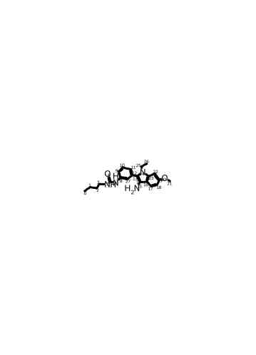 CCCCNC(=O)Nc1cccc(-c2c(N)c3ccc(OC)cc3n2CC)c1